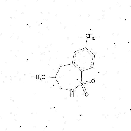 CC1CNS(=O)(=O)c2ccc(C(F)(F)F)cc2C1